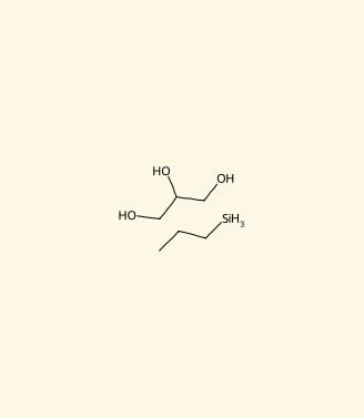 CCC[SiH3].OCC(O)CO